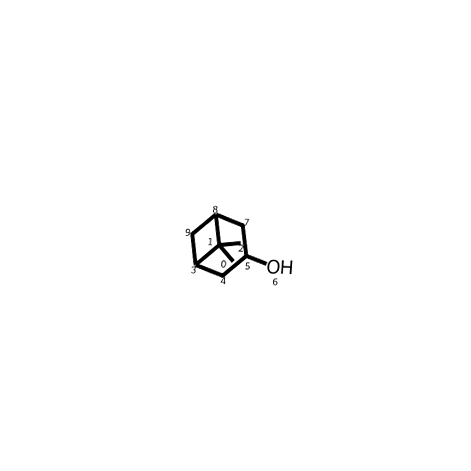 CC1(C)C2CC(O)CC1C2